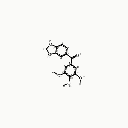 COc1cc(C(=O)c2ccc3c(c2)OCO3)cc(OC)c1OC